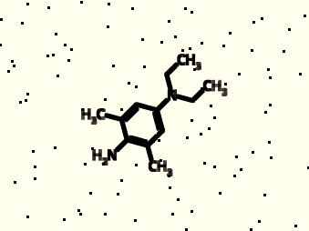 CCN(CC)c1cc(C)c(N)c(C)c1